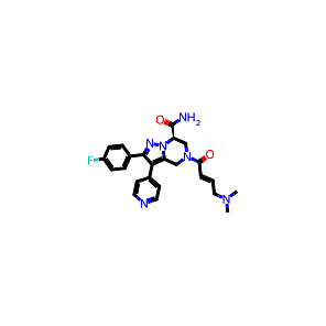 CN(C)C/C=C/C(=O)N1Cc2c(-c3ccncc3)c(-c3ccc(F)cc3)nn2[C@@H](C(N)=O)C1